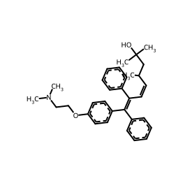 CC(/C=C\C(=C(/c1ccccc1)c1ccc(OCCN(C)C)cc1)c1ccccc1)CC(C)(C)O